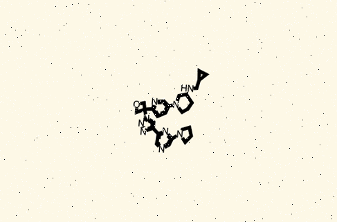 c1cc(C2(n3cc(-c4cncc(N5CCCC5)n4)nn3)COC2)ncc1N1CCC[C@@H](NCC2CC2)C1